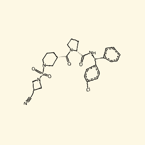 N#CC1CN(S(=O)(=O)N2CCC[C@H](C(=O)N3CCC[C@@H]3C(=O)N[C@@H](c3ccccc3)c3ccc(Cl)cc3)C2)C1